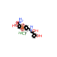 Cl.NC(=O)c1cc(S(=O)(=O)c2ccc(CCNC[C@@H](O)c3cccc(O)c3)cc2)ccc1O